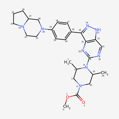 COC(=O)N1CC(C)N(c2ncc3[nH]nc(-c4ccc(N5CCN6CCCC6C5)cc4)c3n2)C(C)C1